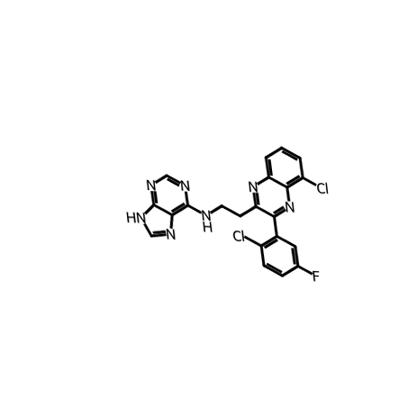 Fc1ccc(Cl)c(-c2nc3c(Cl)cccc3nc2CCNc2ncnc3[nH]cnc23)c1